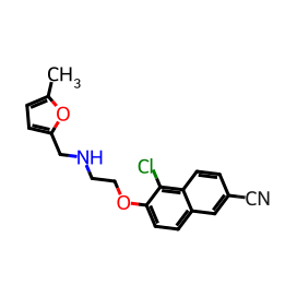 Cc1ccc(CNCCOc2ccc3cc(C#N)ccc3c2Cl)o1